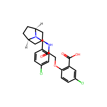 O=C(COc1ccc(Cl)cc1C(=O)O)N[C@H]1C[C@H]2CC[C@@H](C1)N2Cc1ccc(Cl)cc1